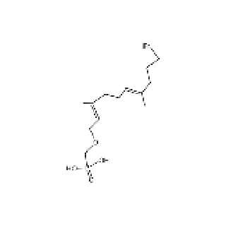 CC(=CCOCP(=O)(O)O)CCC=C(C)CCCC(C)C